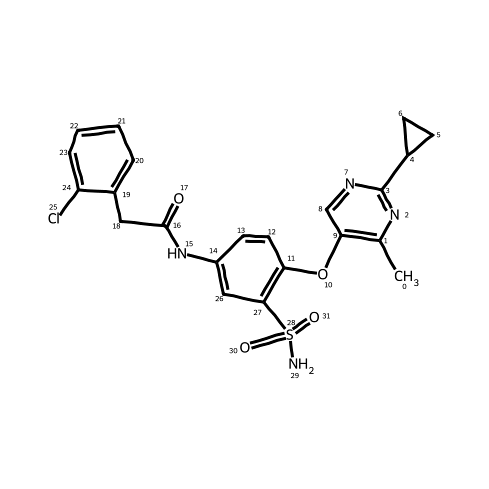 Cc1nc(C2CC2)ncc1Oc1ccc(NC(=O)Cc2ccccc2Cl)cc1S(N)(=O)=O